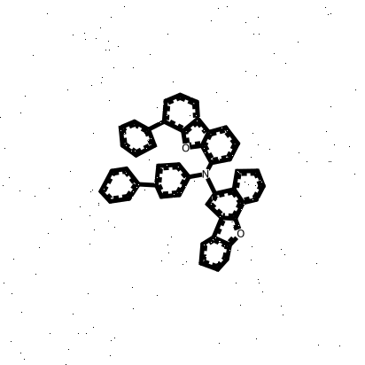 c1ccc(-c2ccc(N(c3cc4c5ccccc5oc4c4ccccc34)c3cccc4c3oc3c(-c5ccccc5)cccc34)cc2)cc1